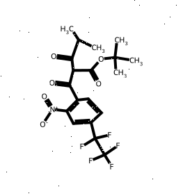 CC(C)C(=O)C(C(=O)OC(C)(C)C)C(=O)c1ccc(C(F)(F)C(F)(F)F)cc1[N+](=O)[O-]